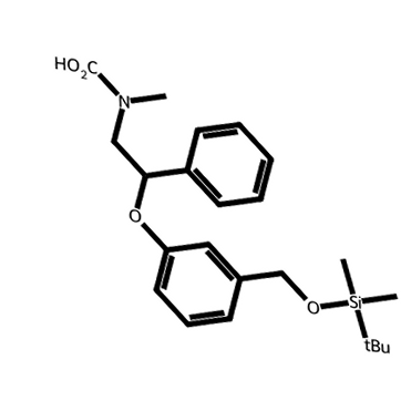 CN(CC(Oc1cccc(CO[Si](C)(C)C(C)(C)C)c1)c1ccccc1)C(=O)O